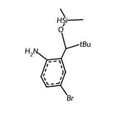 C[SiH](C)OC(c1cc(Br)ccc1N)C(C)(C)C